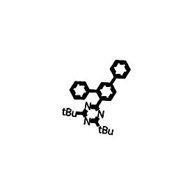 CC(C)(C)c1nc(-c2ccc(-c3ccccc3)cc2-c2ccccc2)nc(C(C)(C)C)n1